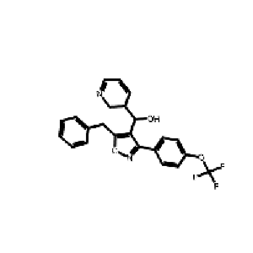 OC(c1c(-c2ccc(OC(F)(F)F)cc2)noc1Cc1ccccc1)C1C=CC=NC1